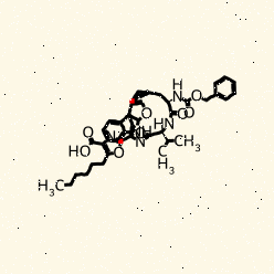 CCCCCCc1oc(-c2nc3oc2C24c5ccccc5NC2Oc2ccc(cc24)C[C@H](NC(=O)OCc2ccccc2)C(=O)N[C@H]3C(C)C)nc1C(=O)O